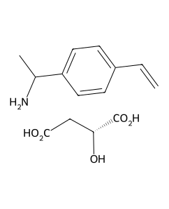 C=Cc1ccc(C(C)N)cc1.O=C(O)C[C@@H](O)C(=O)O